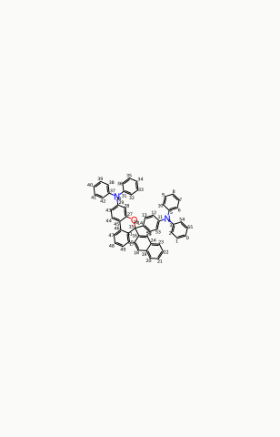 c1ccc(N(c2ccccc2)c2ccc(C3(c4ccc5ccccc5c4)Oc4cc(N(c5ccccc5)c5ccccc5)ccc4-c4ccccc43)cc2)cc1